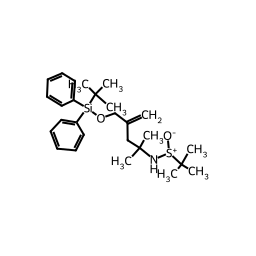 C=C(CO[Si](c1ccccc1)(c1ccccc1)C(C)(C)C)CC(C)(C)N[S+]([O-])C(C)(C)C